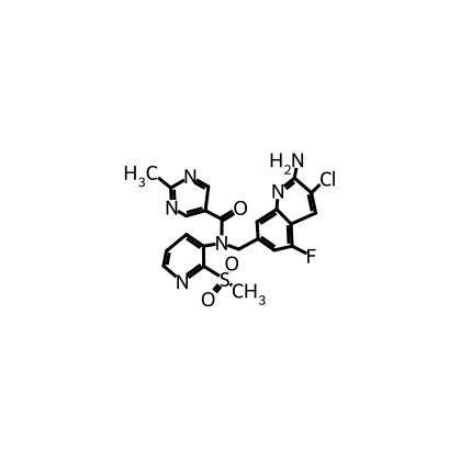 Cc1ncc(C(=O)N(Cc2cc(F)c3cc(Cl)c(N)nc3c2)c2cccnc2S(C)(=O)=O)cn1